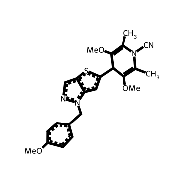 COC1=C(C)N(C#N)C(C)=C(OC)C1c1cc2c(cnn2Cc2ccc(OC)cc2)s1